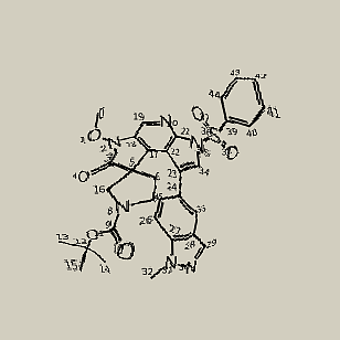 CON1C(=O)C2(CCN(C(=O)OC(C)(C)C)C2)c2c1cnc1c2c(-c2ccc3c(cnn3C)c2)cn1S(=O)(=O)c1ccccc1